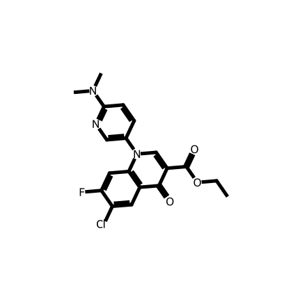 CCOC(=O)c1cn(-c2ccc(N(C)C)nc2)c2cc(F)c(Cl)cc2c1=O